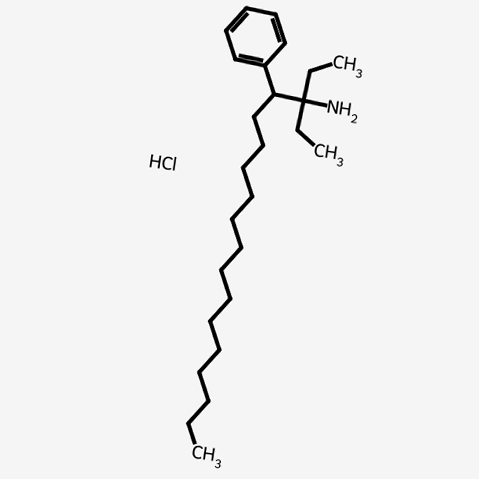 CCCCCCCCCCCCCCC(c1ccccc1)C(N)(CC)CC.Cl